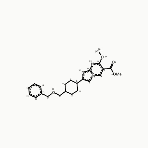 COC(=O)c1cn2cc(C3CCC(COCc4ccccc4)CC3)nc2nc1OC(C)C